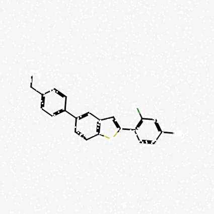 CCc1ccc(-c2ccc3sc(-c4ccc(C)cc4Cl)cc3c2)cc1